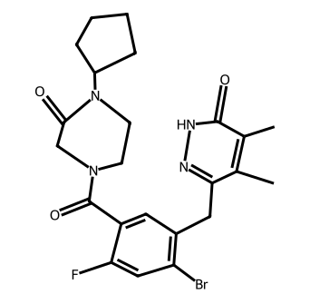 Cc1c(Cc2cc(C(=O)N3CCN(C4CCCC4)C(=O)C3)c(F)cc2Br)n[nH]c(=O)c1C